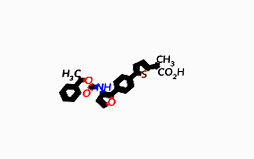 CC(C(=O)O)c1ccc(-c2ccc(-c3occc3NC(=O)O[C@H](C)c3ccccc3)cc2)s1